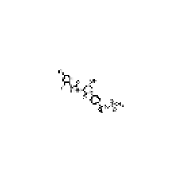 CS(=O)(=O)NCC1(c2ccc(N3C[C@@H](O)C[C@@H](NC(=O)Nc4ncc(Cl)cc4F)C3=O)cc2)CC1